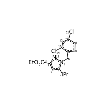 CCOC(=O)c1cc(C(C)C)n(Cc2ccc(Cl)cc2Cl)n1